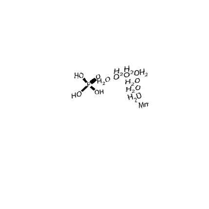 O.O.O.O.O.O.O.O=P(O)(O)O.[Mn]